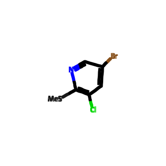 CSc1ncc(Br)cc1Cl